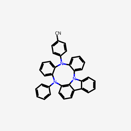 N#Cc1ccc(N2c3ccccc3N(c3ccccc3)c3cccc4c5ccccc5n(c34)-c3ccccc32)cc1